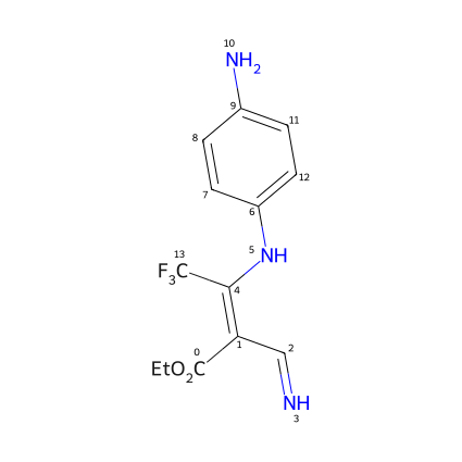 CCOC(=O)/C(C=N)=C(/Nc1ccc(N)cc1)C(F)(F)F